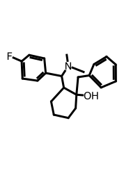 CN(C)C(c1ccc(F)cc1)C1CCCCC1(O)Cc1ccccc1